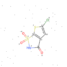 O=C1NS(=O)(=O)c2sc(Cl)cc21